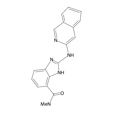 CNC(=O)c1cccc2nc(Nc3cc4ccccc4cn3)[nH]c12